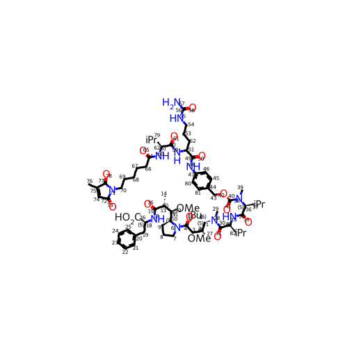 CC[C@H](C)[C@@H]([C@@H](CC(=O)N1CCC[C@H]1[C@H](OC)[C@@H](C)C(=O)N[C@@H](Cc1ccccc1)C(=O)O)OC)N(C)C(=O)[C@@H](NC(=O)[C@H](C(C)C)N(C)C(=O)OCc1ccc(NC(=O)C(CCCNC(N)=O)NC(=O)[C@@H](NC(=O)CCCCCN2C(=O)C=C(C)C2=O)C(C)C)cc1)C(C)C